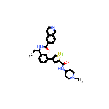 CCC(NC(=O)c1ccc2cnccc2c1)c1cccc(C2=C[SH](F)C(C(=O)NC3CCN(C)CC3)=C2)c1